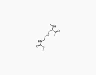 CNC(CSCCNC(=O)SC)C(C)=O